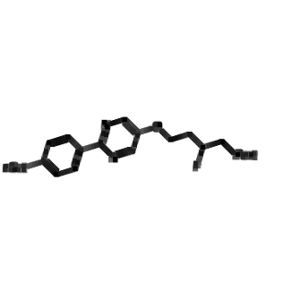 CCCCCCCCc1ccc(-c2ncc(OCCC(F)CC(C)CCC)cn2)cc1